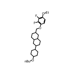 CCCCOC1CCC(C2CCC3CC(COc4ccc(OCC)c(F)c4F)CCC3C2)CC1